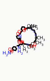 CO[C@H]1C[C@@H]2CCCC(O2)C(=O)C(=O)N2CCCC[C@H]2C(=O)OC(CC(O)[C@H](N)C[C@H]2CC[C@H](OC(N)=O)CC2)C(C)/C=C(\C)[C@@H](O)CC(=O)[C@H](C)C[C@H](C)/C=C/C=C/C=C/1C